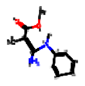 CC(C)OC(=O)C(C#N)=C(N)N(C)c1ccccc1